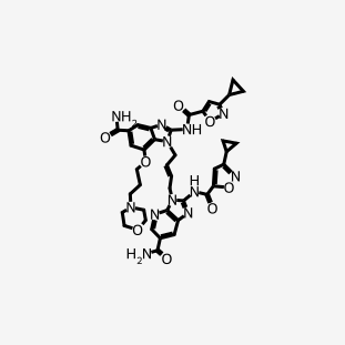 NC(=O)c1cnc2c(c1)nc(NC(=O)c1cc(C3CC3)no1)n2C/C=C/Cn1c(NC(=O)c2cc(C3CC3)no2)nc2cc(C(N)=O)cc(OCCCN3CCOCC3)c21